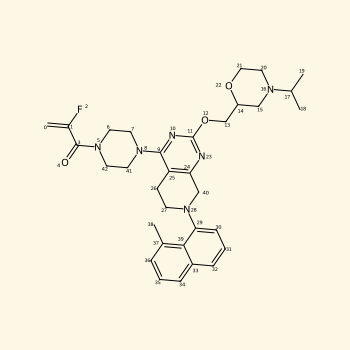 C=C(F)C(=O)N1CCN(c2nc(OCC3CN(C(C)C)CCO3)nc3c2CCN(c2cccc4cccc(C)c24)C3)CC1